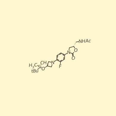 CC(=O)NC[C@H]1CN(c2ccc(N3CC(O[Si](C)(C)C(C)(C)C)C3)c(F)c2)C(=O)O1